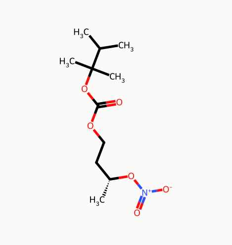 CC(C)C(C)(C)OC(=O)OCC[C@@H](C)O[N+](=O)[O-]